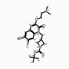 CN(C)CCOc1nc2cc(Br)c(F)cc2n(CC2CN(C(=O)OC(C)(C)C)C2)c1=O